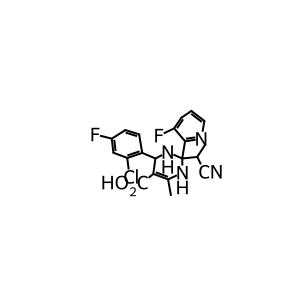 CC1=C(C(=O)O)C(c2ccc(F)cc2Cl)NC(c2ncccc2F)(C(C)C#N)N1